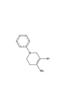 CC(C)C1=C(C(C)(C)C)CCN(c2ccccc2)C1